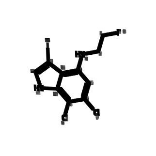 FCCNc1cc(Cl)c(Cl)c2[nH]cc(I)c12